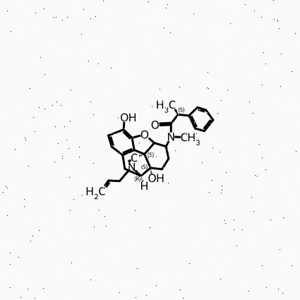 C=CCN1CC[C@]23c4c5ccc(O)c4OC2C(N(C)C(=O)[C@@H](C)c2ccccc2)CC[C@@]3(O)[C@H]1C5